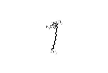 CCCCCCCCCCCCCC(CC)[N+]([O-])(O)CC